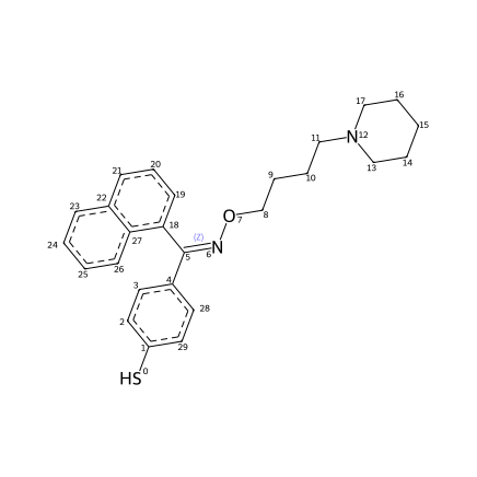 Sc1ccc(/C(=N/OCCCCN2CCCCC2)c2cccc3ccccc23)cc1